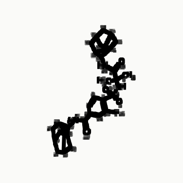 CC(C)(NS(=O)(=O)c1ccc(C(=O)NC2C3CC4CC(C3)CC2C4)cc1F)C(=O)NC1C2CC3CC(C2)CC1C3